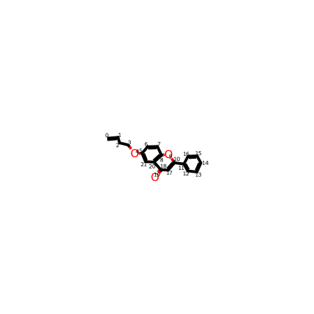 C=CCCOc1ccc2oc(-c3ccccc3)cc(=O)c2c1